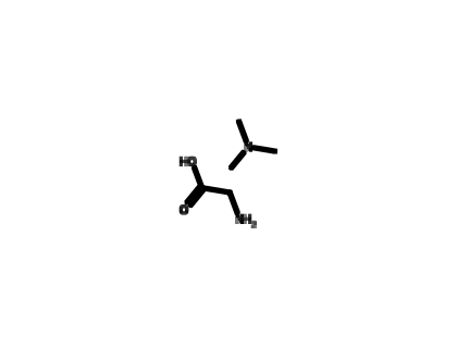 CN(C)C.NCC(=O)O